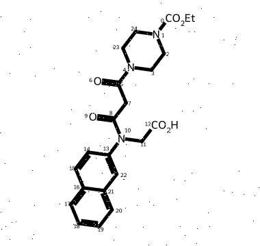 CCOC(=O)N1CCN(C(=O)CC(=O)N(CC(=O)O)c2ccc3ccccc3c2)CC1